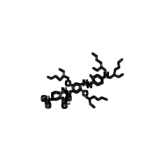 CCCCC(CC)COc1cc(/N=N/c2ccc([N+](=O)[O-])cc2[N+](=O)[O-])c(OCC(CC)CCCC)cc1/N=N/c1ccc(N(CC(CC)CCCC)CC(CC)CCCC)cc1C